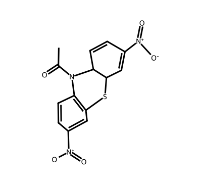 CC(=O)N1c2ccc([N+](=O)[O-])cc2SC2C=C([N+](=O)[O-])C=CC21